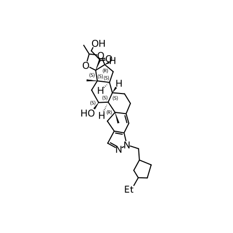 CCC1CCC(Cn2ncc3c2C=C2CC[C@@H]4[C@H]([C@@H](O)C[C@@]5(C)[C@H]4C[C@H]4OC(C)O[C@]45C(=O)CO)[C@@]2(C)C3)C1